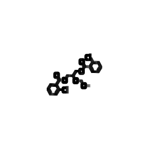 COCOC(COC(=O)c1ccccc1Cl)COC(=O)c1ccccc1Cl